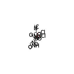 CCN(CC)CCC1CCN(C2(CC=O)CC(N3CCc4ccccc4NC3=O)CC[N@+]2(Cc2ccc(Cl)c(Cl)c2)C(=O)[O-])CC1